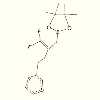 CC1(C)OB(CC(CCc2ccccc2)=C(F)F)OC1(C)C